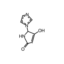 O=C1[C]=C(O)C(n2ccnc2)N1